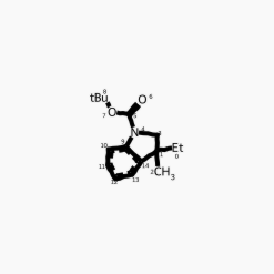 CCC1(C)CN(C(=O)OC(C)(C)C)c2ccccc21